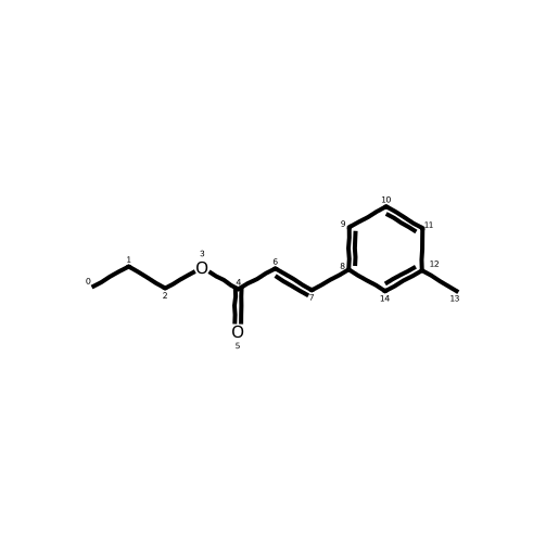 CCCOC(=O)/C=C/c1cccc(C)c1